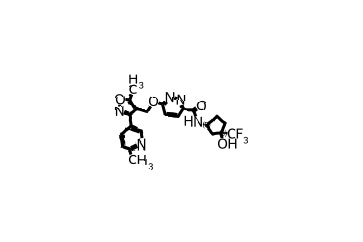 Cc1ccc(-c2noc(C)c2COc2ccc(C(=O)N[C@@H]3CC[C@@](O)(C(F)(F)F)C3)nn2)cn1